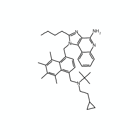 CCCCc1nc2c(N)nc3ccccc3c2n1Cc1ccc(CN(CCC2CC2)C(C)(C)C)c2c(C)c(C)c(C)c(C)c12